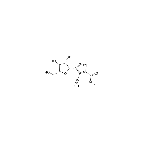 C#Cc1c(C(N)=O)ncn1[C@@H]1O[C@H](CO)C(O)[C@@H]1O